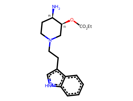 CCOC(=O)O[C@H]1CN(CCc2c[nH]c3ccccc23)CC[C@H]1N